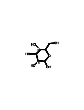 OCC1OC(O)[C@H](O)C(O)[C@@H]1O